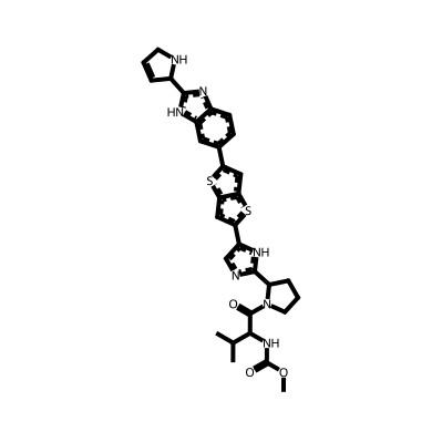 COC(=O)NC(C(=O)N1CCCC1c1ncc(-c2cc3sc(-c4ccc5nc(C6C=CCN6)[nH]c5c4)cc3s2)[nH]1)C(C)C